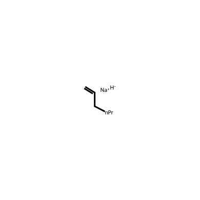 C=CCCCC.[H-].[Na+]